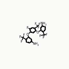 Nc1ccc(C(F)(F)F)c(Oc2cc(Oc3cc(N)ccc3C(F)(F)F)c(C(F)(F)F)cc2F)c1